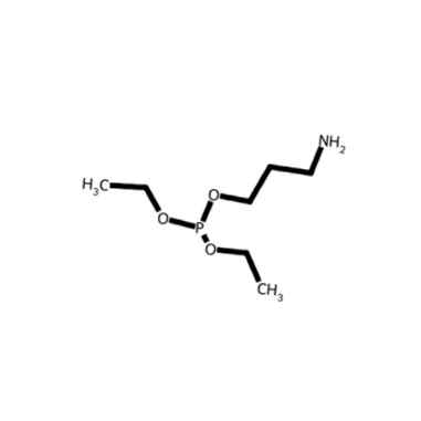 CCOP(OCC)OCCCN